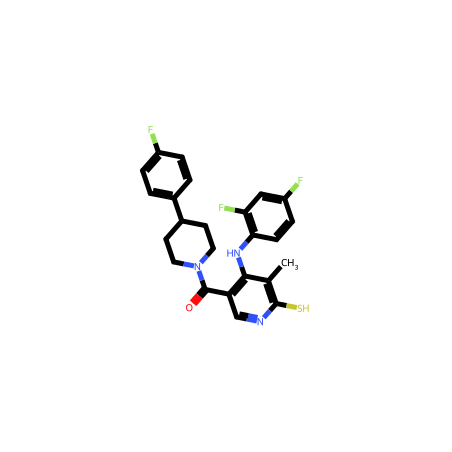 Cc1c(S)ncc(C(=O)N2CCC(c3ccc(F)cc3)CC2)c1Nc1ccc(F)cc1F